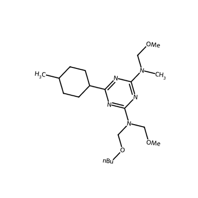 CCCCOCN(COC)c1nc(C2CCC(C)CC2)nc(N(C)COC)n1